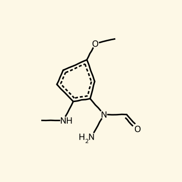 CNc1ccc(OC)cc1N(N)C=O